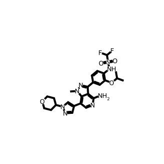 CC(C)Oc1cc(-c2nn(C)c3c(-c4cnn(C5CCOCC5)c4)cnc(N)c23)ccc1NS(=O)(=O)C(F)F